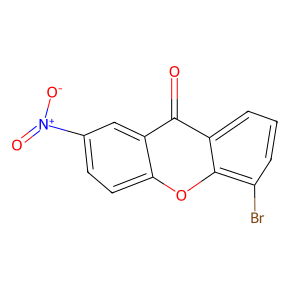 O=c1c2cc([N+](=O)[O-])ccc2oc2c(Br)cccc12